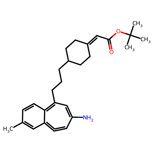 Cc1ccc2c(c1)=C=CC(N)=CC=2CCCC1CCC(=CC(=O)OC(C)(C)C)CC1